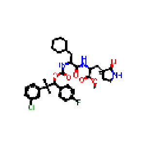 COC(=O)C(C[C@@H]1CCNC1=O)NC(=O)C(CC1CCCCC1)NC(=O)OC(c1ccc(F)cc1)C(C)(C)c1cccc(Cl)c1